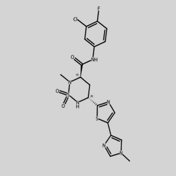 CN1[C@@H](C(=O)Nc2ccc(F)c(Cl)c2)C[C@H](c2ncc(-c3cn(C)cn3)s2)NS1(=O)=O